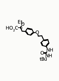 CCO[C@@H](Cc1ccc(OCCc2ccc(NC(=O)NC(C)(C)C)cc2)cc1)C(=O)O